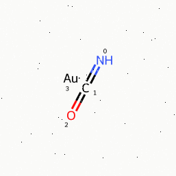 N=C=O.[Au]